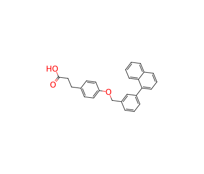 O=C(O)CCc1ccc(OCc2cccc(-c3cccc4ccccc34)c2)cc1